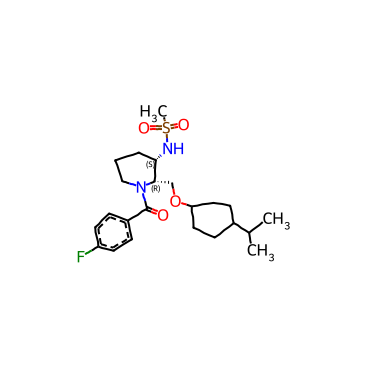 CC(C)C1CCC(OC[C@H]2[C@@H](NS(C)(=O)=O)CCCN2C(=O)c2ccc(F)cc2)CC1